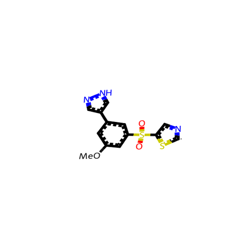 COc1cc(-c2cn[nH]c2)cc(S(=O)(=O)c2cn[c]s2)c1